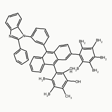 Bc1c(B)c(B)c(-c2ccc3c(-c4cccc(-n5c(-c6ccccc6)nc6ccccc65)c4)c4ccccc4c(-c4c(B)c(B)c(C)c(O)c4O)c3c2)c(B)c1B